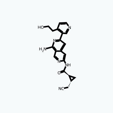 N#CC[C@H]1C[C@@H]1C(=O)Nc1cc2cc(-c3cnccc3CCO)nc(N)c2cn1